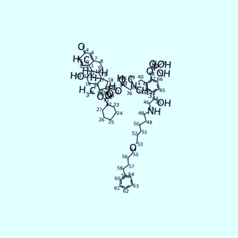 C[C@]12C=CC(=O)C=C1CC[C@@H]1[C@@H]2[C@@H](O)C[C@@]2(C)[C@H]1C[C@H]1O[C@@H](C3CCCCC3)O[C@]12C(=O)COC(=O)C[N+](C)(C)Cc1cc(C(O)CNCCCCCCOCCCCc2ccccc2)ccc1OP(=O)(O)O